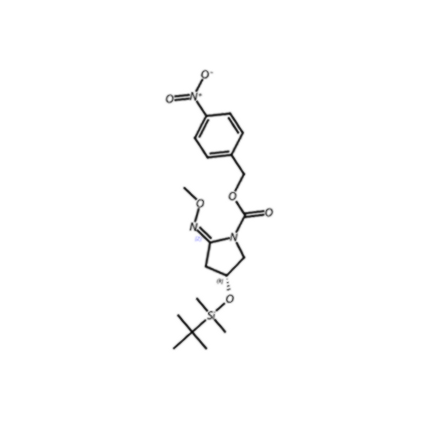 CO/N=C1/C[C@@H](O[Si](C)(C)C(C)(C)C)CN1C(=O)OCc1ccc([N+](=O)[O-])cc1